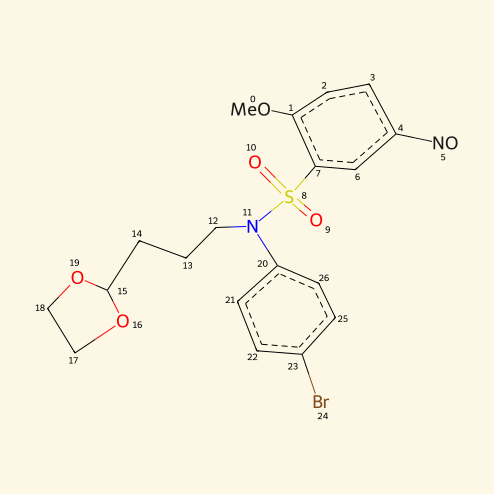 COc1ccc(N=O)cc1S(=O)(=O)N(CCCC1OCCO1)c1ccc(Br)cc1